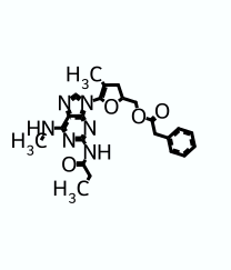 CCC(=O)Nc1nc(NC)c2ncn(C3=C(C)CC(COC(=O)Cc4ccccc4)O3)c2n1